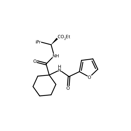 CCOC(=O)[C@@H](NC(=O)C1(NC(=O)c2ccco2)CCCCC1)C(C)C